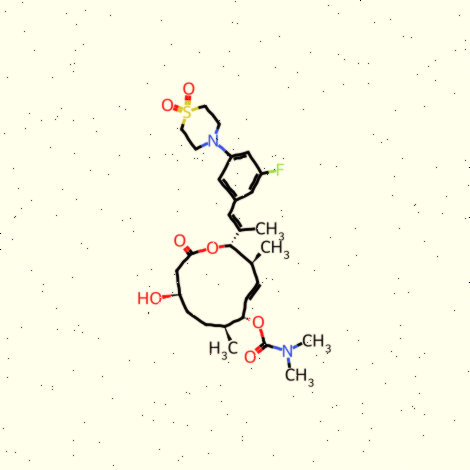 C/C(=C\c1cc(F)cc(N2CCS(=O)(=O)CC2)c1)[C@H]1OC(=O)C[C@H](O)CC[C@H](C)[C@@H](OC(=O)N(C)C)/C=C/[C@@H]1C